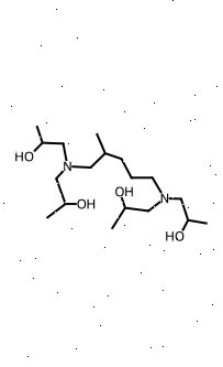 CC(O)CN(CCCC(C)CN(CC(C)O)CC(C)O)CC(C)O